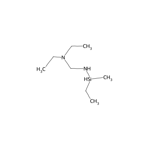 CCN(CC)CN[SiH](C)CC